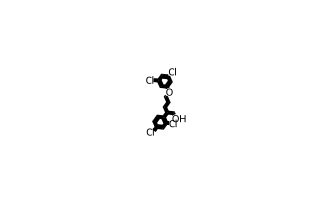 OCC(CCCOc1cc(Cl)cc(Cl)c1)c1ccc(Cl)cc1Cl